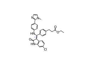 CCOC(=O)CCc1ccc(/C(Nc2ccc(-c3nccn3C)cc2)=C2/C(=O)Nc3cc(Cl)ccc32)cc1